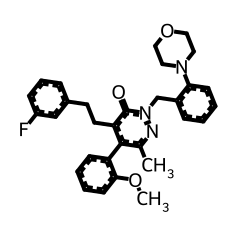 COc1ccccc1-c1c(C)nn(Cc2ccccc2N2CCOCC2)c(=O)c1CCc1cccc(F)c1